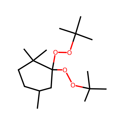 CC1CCC(C)(C)C(OOC(C)(C)C)(OOC(C)(C)C)C1